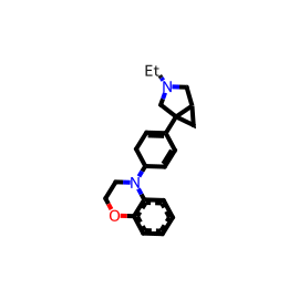 CCN1CC2CC2(C2=CCC(N3CCOc4ccccc43)C=C2)C1